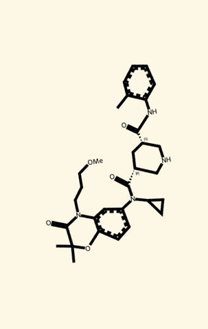 COCCCN1C(=O)C(C)(C)Oc2ccc(N(C(=O)[C@H]3CNC[C@@H](C(=O)Nc4ccccc4C)C3)C3CC3)cc21